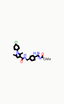 COC(=O)/N=C(\N)c1ccc(CNC(=O)c2cc(C)n(-c3ccc(Cl)cc3)c2C)cc1